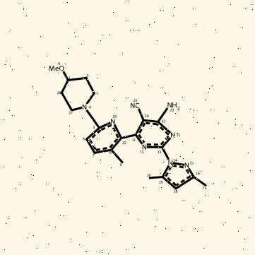 COC1CCN(c2ccc(C)c(-c3nc(-n4nc(C)cc4C)nc(N)c3C#N)n2)CC1